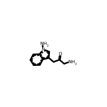 NCC(=O)Cc1cn(N)c2ccccc12